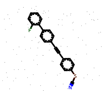 N#CSc1ccc(C#Cc2ccc(-c3ccccc3F)cc2)cc1